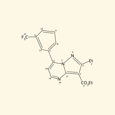 CCOC(=O)c1c(CC)nn2c(-c3cccc(C(F)(F)F)c3)ccnc12